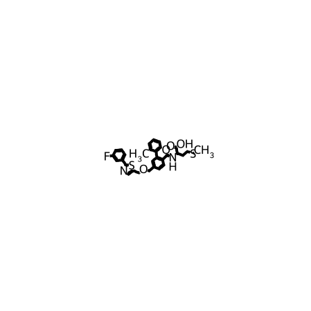 CSCCC(NC(=O)c1ccc(COCc2cnc(-c3cccc(F)c3)s2)cc1-c1ccccc1C)C(=O)O